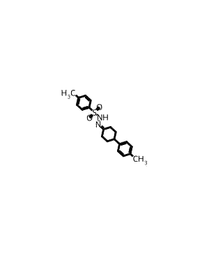 Cc1ccc(C2CCC(=NNS(=O)(=O)c3ccc(C)cc3)CC2)cc1